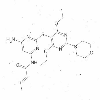 CC=CC(=O)Nc1cc(N)nc(Sc2c(OCC)nc(N3CCOCC3)nc2OCC)n1